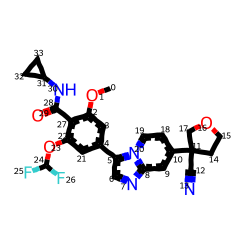 COc1cc(-c2cnc3cc(C4(C#N)CCOC4)ccn23)cc(OC(F)F)c1C(=O)NC1CC1